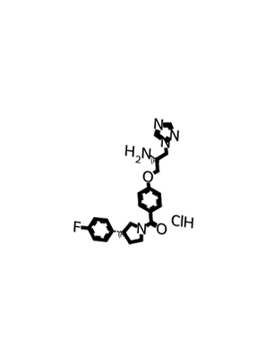 Cl.N[C@@H](COc1ccc(C(=O)N2CC[C@H](c3ccc(F)cc3)C2)cc1)Cn1cncn1